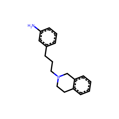 Nc1cccc(CCCN2CCc3ccccc3C2)c1